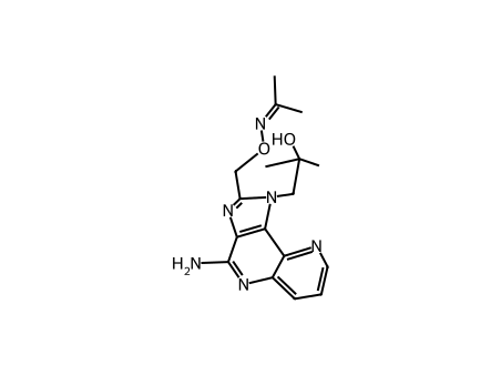 CC(C)=NOCc1nc2c(N)nc3cccnc3c2n1CC(C)(C)O